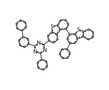 c1ccc(-c2cccc(-c3nc(-c4ccccc4)nc(-c4ccc5c(c4)sc4cccc(-c6cc(-c7ccccc7)cc7c6sc6ccccc67)c45)n3)c2)cc1